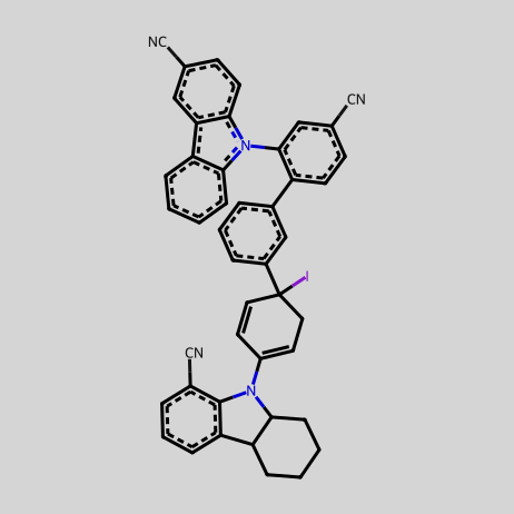 N#Cc1ccc(-c2cccc(C3(I)C=CC(N4c5c(C#N)cccc5C5CCCCC54)=CC3)c2)c(-n2c3ccccc3c3cc(C#N)ccc32)c1